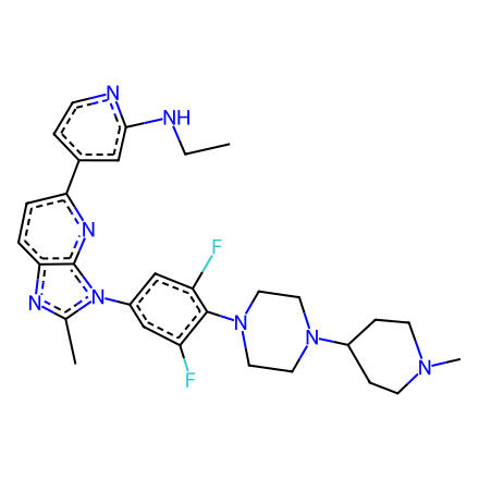 CCNc1cc(-c2ccc3nc(C)n(-c4cc(F)c(N5CCN(C6CCN(C)CC6)CC5)c(F)c4)c3n2)ccn1